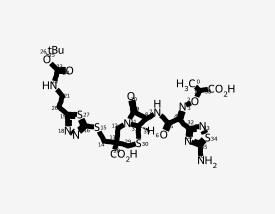 CC(ON=C(C(=O)NC1C(=O)N2CC(CSc3nnc(CCNC(=O)OC(C)(C)C)s3)(C(=O)O)CS[C@H]12)c1nsc(N)n1)C(=O)O